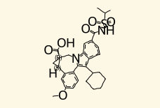 COc1ccc2c(c1)[C@@H]1C[C@]1(C(=O)O)Cn1c-2c(C2CCCCC2)c2ccc(C(=O)NS(=O)(=O)C(C)C)cc21